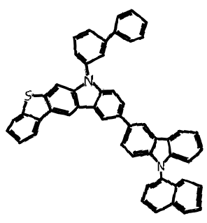 c1ccc(-c2cccc(-n3c4ccc(-c5ccc6c(c5)c5ccccc5n6-c5cccc6ccccc56)cc4c4cc5c(cc43)sc3ccccc35)c2)cc1